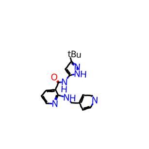 CC(C)(C)c1cc(NC(=O)c2cccnc2NCc2ccncc2)[nH]n1